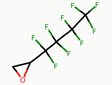 FC(F)(F)C(F)(F)C(F)(F)C(F)(F)C1CO1